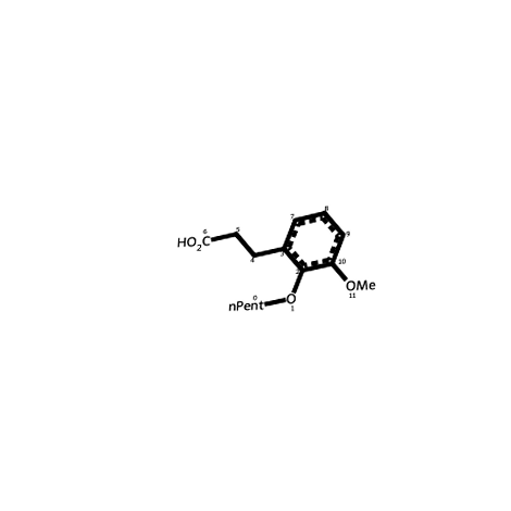 CCCCCOc1c(CCC(=O)O)cccc1OC